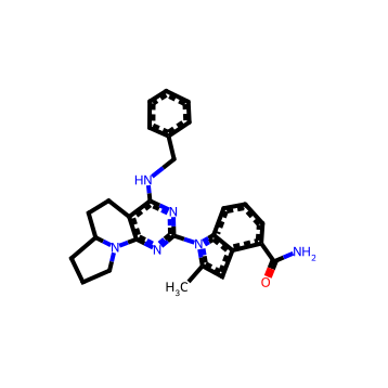 Cc1cc2c(C(N)=O)cccc2n1-c1nc(NCc2ccccc2)c2c(n1)N1CCCC1CC2